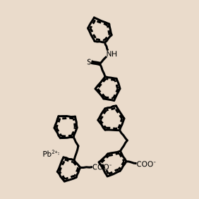 O=C([O-])c1ccccc1Cc1ccccc1.O=C([O-])c1ccccc1Cc1ccccc1.S=C(Nc1ccccc1)c1ccccc1.[Pb+2]